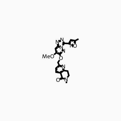 COc1cc2nnc(-c3cc(C)on3)n2nc1OCc1ccc2c(n1)CCN(C)C2=O